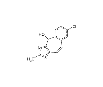 Cc1nc2c(s1)C=Cc1cc(Cl)ccc1C2O